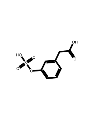 O=C(O)Cc1cccc(OS(=O)(=O)O)c1